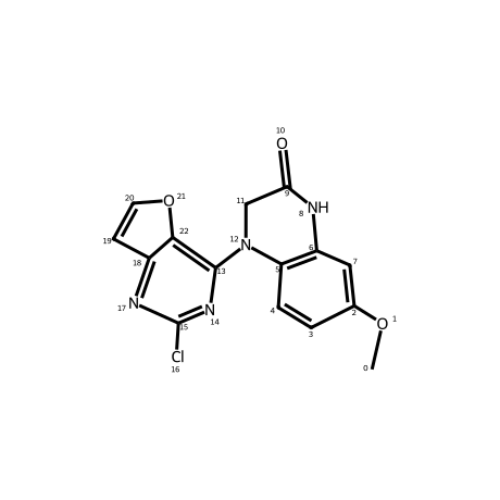 COc1ccc2c(c1)NC(=O)CN2c1nc(Cl)nc2ccoc12